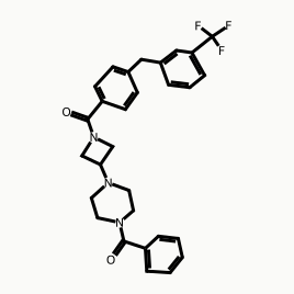 O=C(c1ccccc1)N1CCN(C2CN(C(=O)c3ccc(Cc4cccc(C(F)(F)F)c4)cc3)C2)CC1